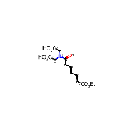 CCOC(=O)CCCCCC(=O)N(CC(=O)O)CC(=O)O